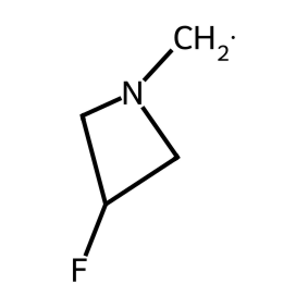 [CH2]N1CC(F)C1